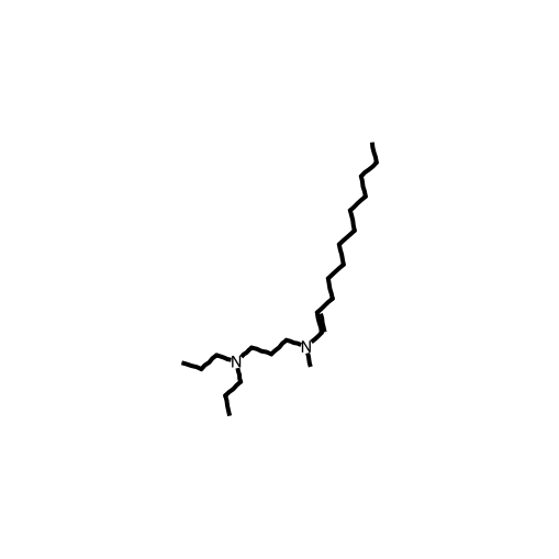 CCCCCCCCCCC=CN(C)CCCN(CCC)CCC